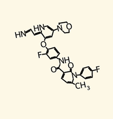 Cc1ccc(C(=O)Nc2ccc(OC3=CC(N4CCOCC4)=CN/C3=C\C=N)c(F)c2)c(=O)n1-c1ccc(F)cc1